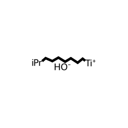 CC(C)CCCCCC[CH2][Ti+].[OH-]